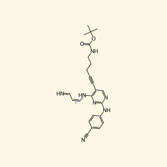 CC(C)(C)OC(=O)NCCCC#Cc1cnc(Nc2ccc(C#N)cc2)nc1N/C=C\C=N